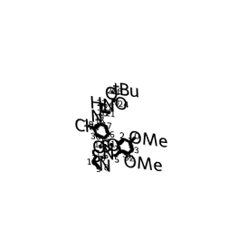 COc1ccc(CN(c2nccs2)S(=O)(=O)c2ccc(NC3CN(C(=O)OC(C)(C)C)C3)c(Cl)c2)c(OC)c1